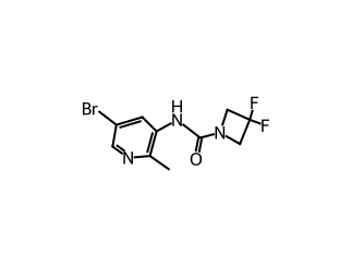 Cc1ncc(Br)cc1NC(=O)N1CC(F)(F)C1